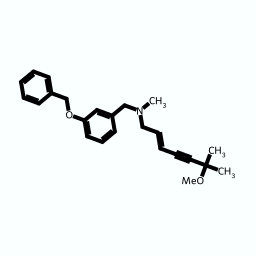 COC(C)(C)C#C/C=C/CN(C)Cc1cccc(OCc2ccccc2)c1